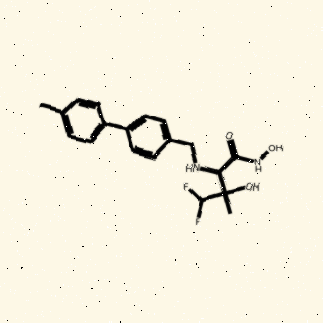 Cc1ccc(-c2ccc(CNC(C(=O)NO)C(C)(O)C(F)F)cc2)cc1